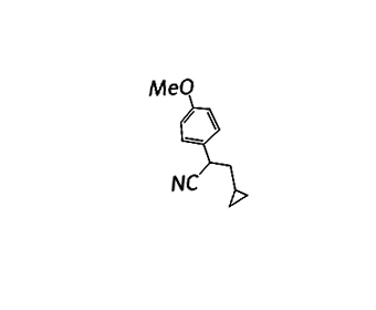 COc1ccc(C(C#N)CC2CC2)cc1